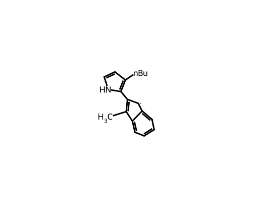 CCCCc1cc[nH]c1C1=C(C)c2ccccc2[CH]1